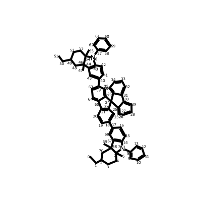 CCC1CCC2(C)N(c3ccccc3)c3ccc(-c4ccc5c(c4)C4(c6ccccc6-c6ccccc64)c4cc(-c6ccc7c(c6)C6(C)CC(CC)CCC6(C)N7c6ccccc6)ccc4-5)cc3C2(C)C1